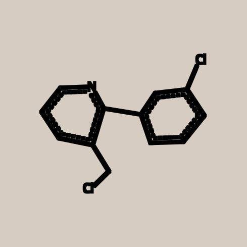 ClCc1cccnc1-c1cccc(Cl)c1